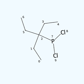 CCC(CC)(CC)P(Cl)Cl